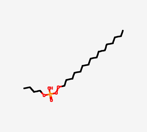 CCCCCCCCCCCCCCCCOOP(=O)(O)OCCCC